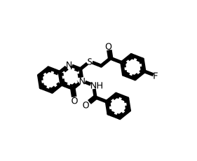 O=C(CSc1nc2ccccc2c(=O)n1NC(=O)c1ccccc1)c1ccc(F)cc1